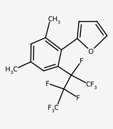 Cc1[c]c(C)c(-c2ccco2)c(C(F)(C(F)(F)F)C(F)(F)C(F)(F)F)c1